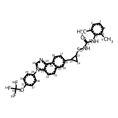 Cc1cccc(C)c1NC(=O)NSC1CC1c1ccc2c(ccc3c2ncn3-c2ccc(OC(F)(F)F)cc2)c1